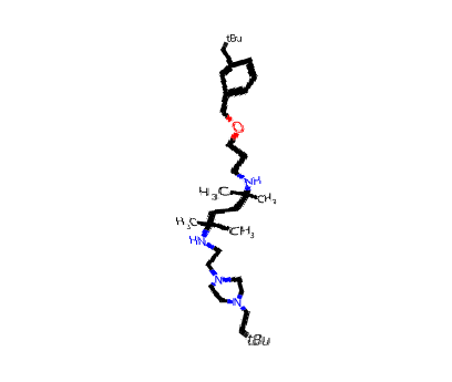 CC(C)(C)CCN1CCN(CCNC(C)(C)CCC(C)(C)NCCCOCc2cccc(CC(C)(C)C)c2)CC1